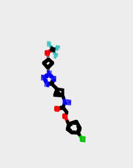 O=C(COc1ccc(Cl)cc1)NC12CC(c3nnn([C@H]4C[C@@H](OC(F)(F)F)C4)n3)(C1)C2